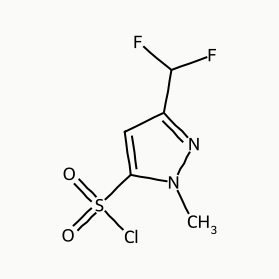 Cn1nc(C(F)F)cc1S(=O)(=O)Cl